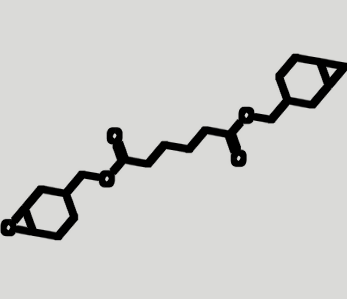 O=C(CCCCC(=O)OCC1CCC2OC2C1)OCC1CCC2CC2C1